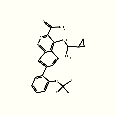 CC(Nc1c(C(N)=O)nnc2cc(-c3ccccc3OC(F)(F)F)ccc12)C1CC1